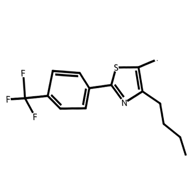 [CH2]c1sc(-c2ccc(C(F)(F)F)cc2)nc1CCCC